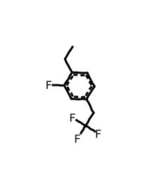 CCc1ccc(CC(F)(F)F)cc1F